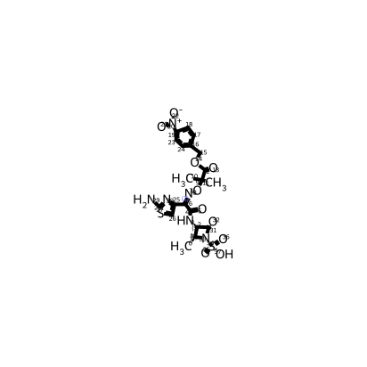 C[C@H]1[C@H](NC(=O)/C(=N\OC(C)(C)C(=O)OCc2ccc([N+](=O)[O-])cc2)c2csc(N)n2)C(=O)N1S(=O)(=O)O